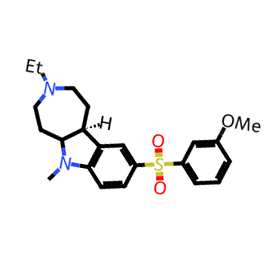 CCN1CCC2[C@@H](CC1)c1cc(S(=O)(=O)c3cccc(OC)c3)ccc1N2C